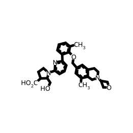 Cc1cc(COc2c(C)cccc2-c2cccc(N3CCC(C(=O)O)C3CO)n2)cc2c1CN(C1COC1)CC2